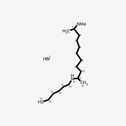 Br.CNC(C)CCCCCCCC(C)NCCCCCS